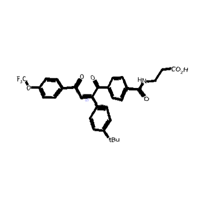 CC(C)(C)c1ccc(/C(=C/C(=O)c2ccc(OC(F)(F)F)cc2)C(=O)c2ccc(C(=O)NCCC(=O)O)cc2)cc1